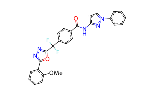 COc1ccccc1-c1nnc(C(F)(F)c2ccc(C(=O)Nc3[c]cn(-c4ccccc4)n3)cc2)o1